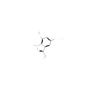 CCOc1cc(C(=O)O)cc2c(CO)nn(C)c12